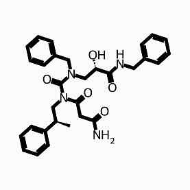 C[C@H](CN(C(=O)CC(N)=O)C(=O)N(Cc1ccccc1)C[C@H](O)C(=O)NCc1ccccc1)c1ccccc1